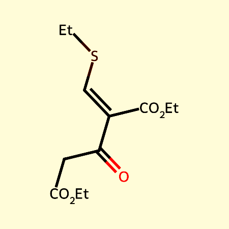 CCOC(=O)CC(=O)C(=CSCC)C(=O)OCC